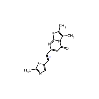 Cc1ncc(/C=C/c2cc(=O)n3c(C)c(C)sc3n2)s1